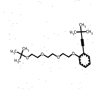 CC(C)(C)C#Cc1ccccc1OCCOCCOCCOC(C)(C)C